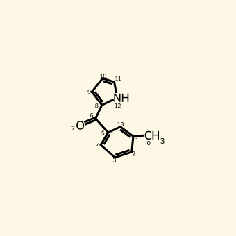 Cc1cccc(C(=O)c2ccc[nH]2)c1